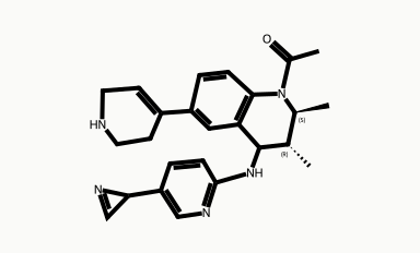 CC(=O)N1c2ccc(C3=CCNCC3)cc2C(Nc2ccc(C3C=N3)cn2)[C@@H](C)[C@@H]1C